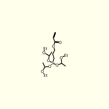 C=CC(=O)OCCC[Si](OC(C)OCC)(OC(C)OCC)OC(C)OCC